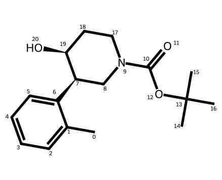 Cc1ccccc1[C@@H]1CN(C(=O)OC(C)(C)C)CC[C@@H]1O